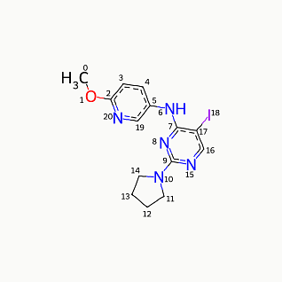 COc1ccc(Nc2nc(N3CCCC3)ncc2I)cn1